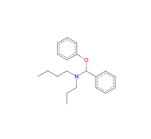 CCCCN(CCC)C(Oc1ccccc1)c1ccccc1